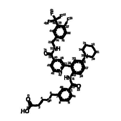 O=C(O)CCSCc1cccc(C(=O)Nc2ccc(N3CCCCC3)cc2-c2cc(C(=O)NCc3ccc(F)c(C(F)(F)F)c3)ccn2)c1